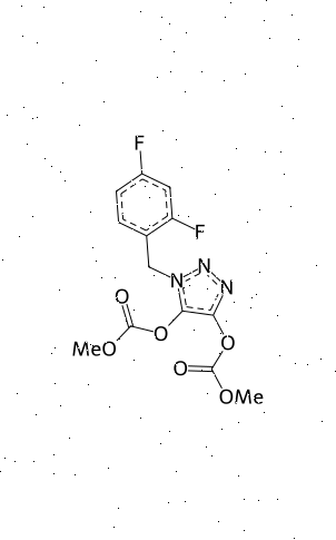 COC(=O)Oc1nnn(Cc2ccc(F)cc2F)c1OC(=O)OC